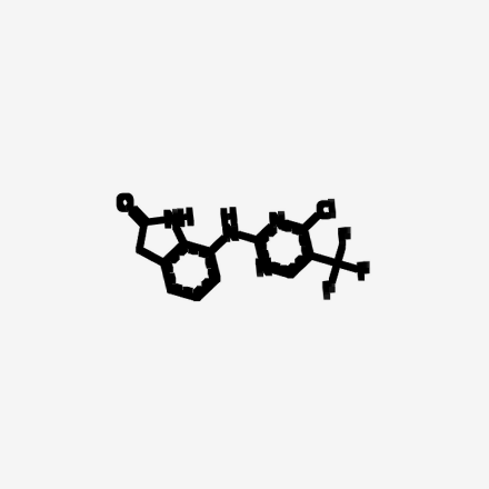 O=C1Cc2cccc(Nc3ncc(C(F)(F)F)c(Cl)n3)c2N1